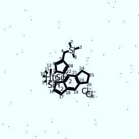 C[Si](C)(C)CC1=C[CH]([Hf]([CH3])([CH3])([CH3])([CH3])(=[SiH2])(=[SiH2])[CH]2C=Cc3cc4c(cc32)CCC4)C=C1.[Cl-].[Cl-]